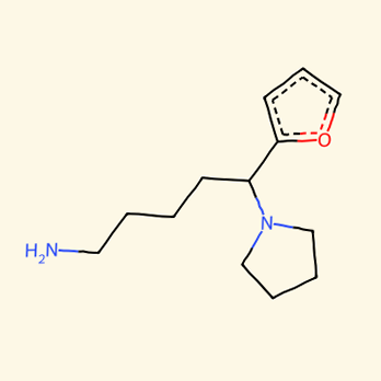 NCCCCC(c1ccco1)N1CCCC1